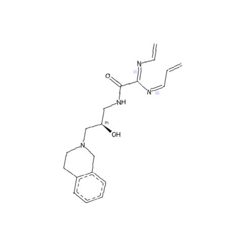 C=C/C=N\C(=N/C=C)C(=O)NC[C@@H](O)CN1CCc2ccccc2C1